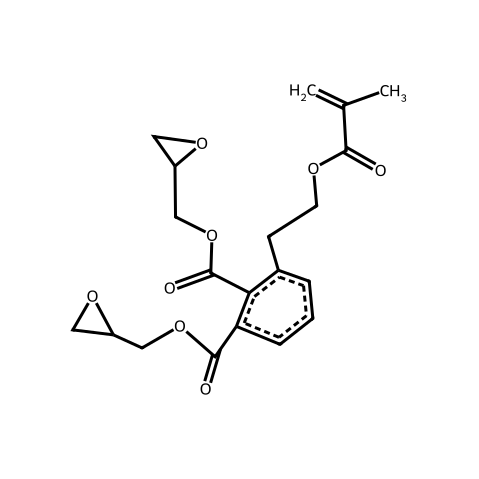 C=C(C)C(=O)OCCc1cccc(C(=O)OCC2CO2)c1C(=O)OCC1CO1